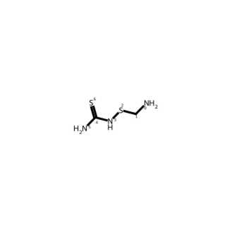 NCSNC(N)=S